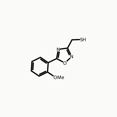 COc1ccccc1-c1nc(CS)no1